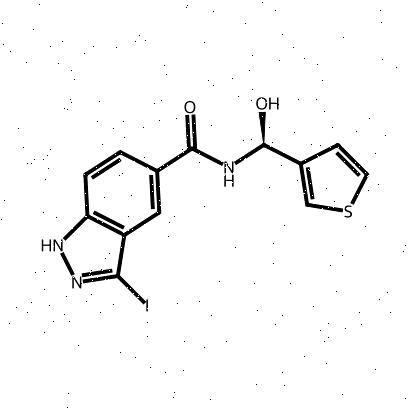 O=C(N[C@@H](O)c1ccsc1)c1ccc2[nH]nc(I)c2c1